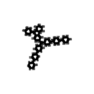 c1ccc(-c2ccc(-c3ccc(N(c4ccc(-c5ccc(-c6ccccc6)cc5)cc4)c4ccc5c(c4)c4ccccc4n5-c4ccccc4)cc3)cc2)cc1